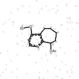 CCOc1ccnc2c1CCCCC2OC(C)=O